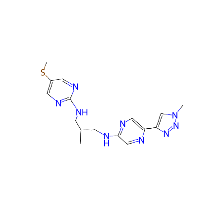 CSc1cnc(NCC(C)CNc2cnc(-c3cn(C)nn3)cn2)nc1